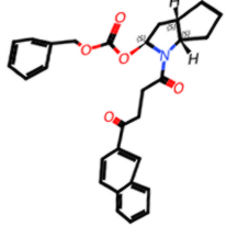 O=C(OCc1ccccc1)O[C@H]1C[C@@H]2CCC[C@@H]2N1C(=O)CCC(=O)c1ccc2ccccc2c1